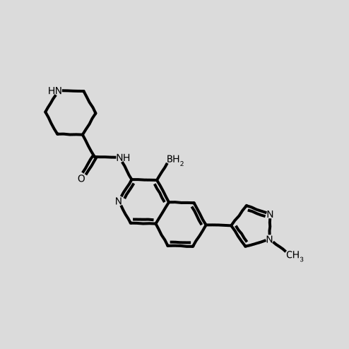 Bc1c(NC(=O)C2CCNCC2)ncc2ccc(-c3cnn(C)c3)cc12